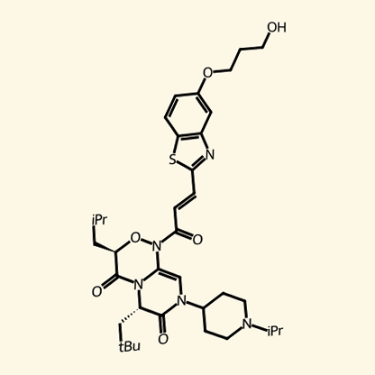 CC(C)C[C@H]1ON(C(=O)/C=C/c2nc3cc(OCCCO)ccc3s2)C2=CN(C3CCN(C(C)C)CC3)C(=O)[C@H](CC(C)(C)C)N2C1=O